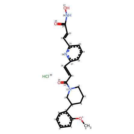 COc1ccccc1C1CCCN(C(=O)C=Cc2cccc(C=CC(=O)NO)n2)C1.Cl